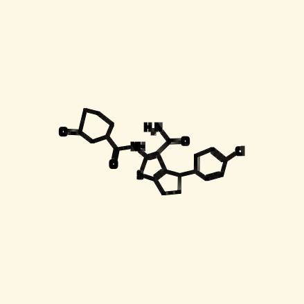 NC(=O)c1c(NC(=O)C2CCCC(=O)C2)sc2c1C(c1ccc(Cl)cc1)CC2